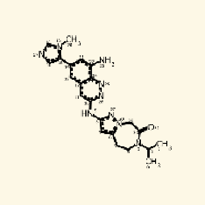 CC(C)N1CCc2cc(Nc3cc4cc(-c5cncn5C)cc(N)c4nn3)nn2CC1=O